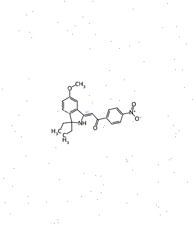 CCC1(CC)N/C(=C\C(=O)c2ccc([N+](=O)[O-])cc2)c2cc(OC)ccc21